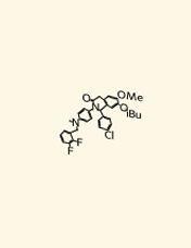 CC[C@@H](C)Oc1cc2c(cc1OC)CC(=O)N(c1ccc(N(C)Cc3cccc(F)c3F)cc1)C2c1ccc(Cl)cc1